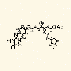 CC(=O)OCCN(CCCC1CCCC1)C(=O)CCCOc1ccc2c(c1)CN1CC(=O)NC1=N2